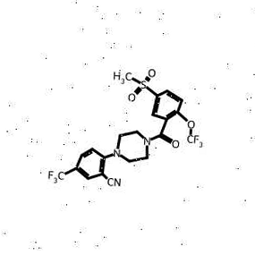 CS(=O)(=O)c1ccc(OC(F)(F)F)c(C(=O)N2CCN(c3ccc(C(F)(F)F)cc3C#N)CC2)c1